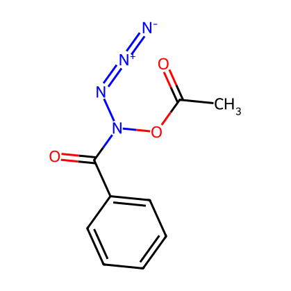 CC(=O)ON(N=[N+]=[N-])C(=O)c1ccccc1